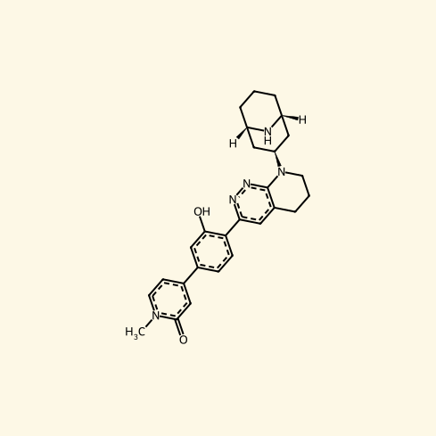 Cn1ccc(-c2ccc(-c3cc4c(nn3)N([C@@H]3C[C@H]5CCC[C@@H](C3)N5)CCC4)c(O)c2)cc1=O